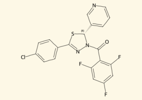 O=C(c1c(F)cc(F)cc1F)N1N=C(c2ccc(Cl)cc2)S[C@@H]1c1cccnc1